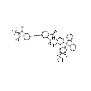 CCC(C)(CC)c1ccc(C2(c3ccc(N4C(=O)c5ccc(C#Cc6ccc7c(c6)C(=O)N(C(C)(CC)CC)C7=O)cc5C4=O)c(F)c3)c3ccccc3-c3ccccc32)cc1F